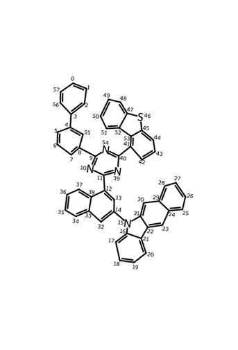 c1ccc(-c2cccc(-c3nc(-c4cc(-n5c6ccccc6c6cc7ccccc7cc65)cc5ccccc45)nc(-c4cccc5sc6ccccc6c45)n3)c2)cc1